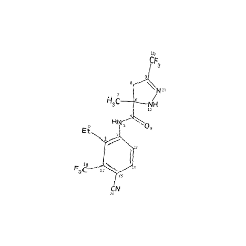 CCc1c(NC(=O)C2(C)CC(C(F)(F)F)=NN2)ccc(C#N)c1C(F)(F)F